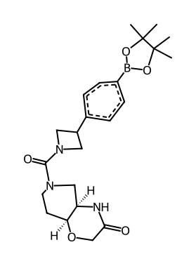 CC1(C)OB(c2ccc(C3CN(C(=O)N4CC[C@@H]5OCC(=O)N[C@@H]5C4)C3)cc2)OC1(C)C